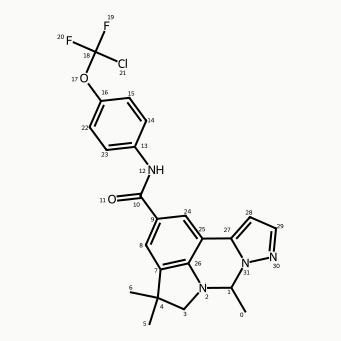 CC1N2CC(C)(C)c3cc(C(=O)Nc4ccc(OC(F)(F)Cl)cc4)cc(c32)-c2ccnn21